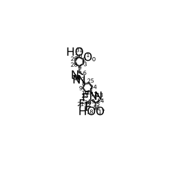 COc1cc(-c2cn(-c3ccc(-n4ncc(C(=O)O)c4C(F)(F)F)cc3)nn2)ccc1O